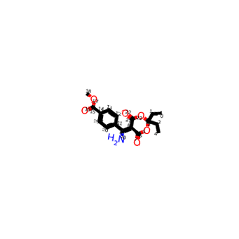 CCC1(CC)OC(=O)C(=C(N)c2ccc(C(=O)OC)cc2)C(=O)O1